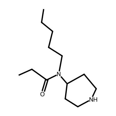 CCCCCN(C(=O)CC)C1CCNCC1